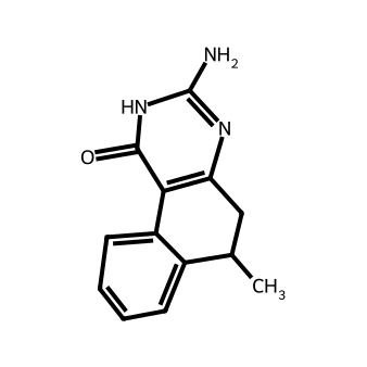 CC1Cc2nc(N)[nH]c(=O)c2-c2ccccc21